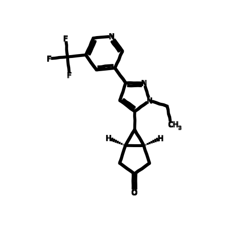 CCn1nc(-c2cncc(C(F)(F)F)c2)cc1C1[C@H]2CC(=O)C[C@@H]12